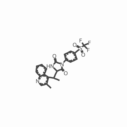 Cc1cnc2ccccc2c1C(C)C1NC(=O)N(c2ccc(S(=O)(=O)C(F)(F)F)cc2)C1=O